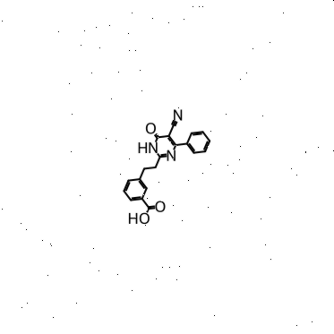 N#Cc1c(-c2ccccc2)nc(CCc2cccc(C(=O)O)c2)[nH]c1=O